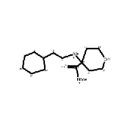 CNC(=O)C1(NCCC2CCCCC2)CCOCC1